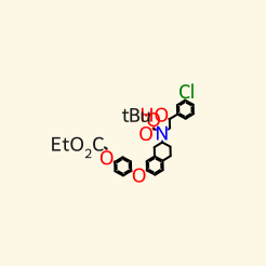 CCOC(=O)COc1ccc(Oc2ccc3c(c2)C[C@@H](N(C[C@@H](O)c2cccc(Cl)c2)C(=O)OC(C)(C)C)CC3)cc1